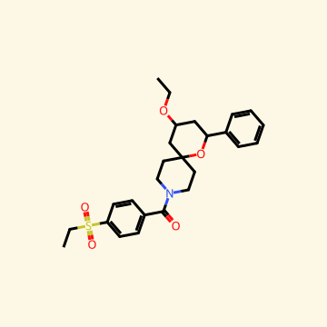 CCOC1CC(c2ccccc2)OC2(CCN(C(=O)c3ccc(S(=O)(=O)CC)cc3)CC2)C1